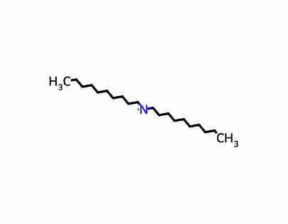 CCCCCCCCCC[N]CCCCCCCCCC